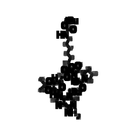 CC(C)(C)OC(=O)NCCCCCCOP(=O)(NC(=O)[C@@H]1CCCN1C(=O)OC(C)(C)C)OC[C@H]1O[C@@H](n2cnc3c(N)ncnc32)[C@@H]2OC(C)(C)O[C@@H]21